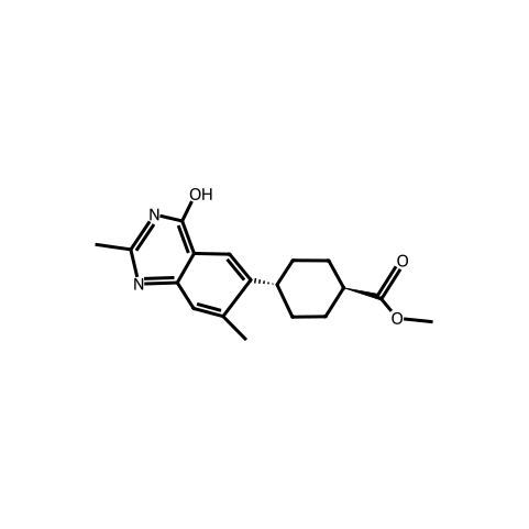 COC(=O)[C@H]1CC[C@H](c2cc3c(O)nc(C)nc3cc2C)CC1